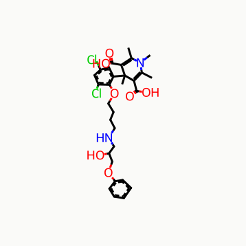 CC1=C(C(=O)O)C(C)(c2cc(Cl)cc(Cl)c2OCCCCNCC(O)COc2ccccc2)C(C(=O)O)=C(C)N1C